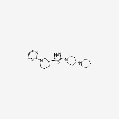 c1cnc(N2CCC[C@H](c3nnc(N4CCC(N5CCCCC5)CC4)s3)C2)nc1